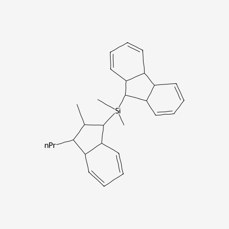 CCCC1C(C)C([Si](C)(C)C2C3C=CC=CC3C3C=CC=CC32)C2C=CC=CC21